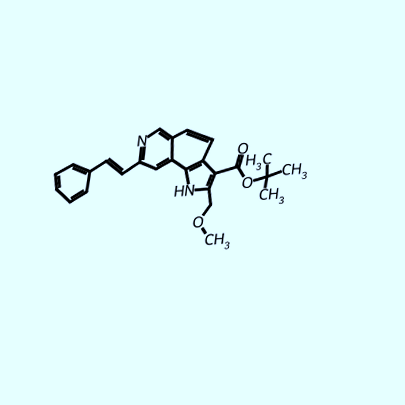 COCc1[nH]c2c(ccc3cnc(C=Cc4ccccc4)cc32)c1C(=O)OC(C)(C)C